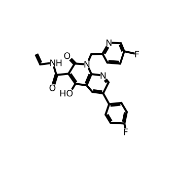 C=CNC(=O)c1c(O)c2cc(-c3ccc(F)cc3)cnc2n(Cc2ccc(F)cn2)c1=O